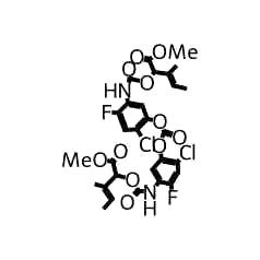 CC=C(C)C(OC(=O)Nc1cc(OC(=O)Oc2cc(NC(=O)OC(C(=O)OC)C(C)=CC)c(F)cc2Cl)c(Cl)cc1F)C(=O)OC